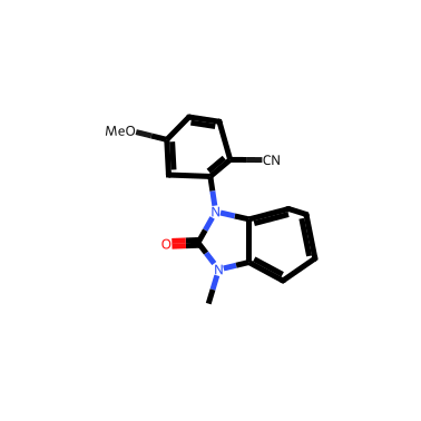 COc1ccc(C#N)c(-n2c(=O)n(C)c3ccccc32)c1